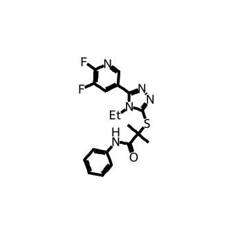 CCn1c(SC(C)(C)C(=O)Nc2ccccc2)nnc1-c1cnc(F)c(F)c1